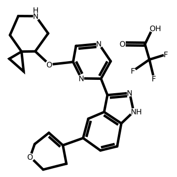 C1=C(c2ccc3[nH]nc(-c4cncc(OC5CNCCC56CC6)n4)c3c2)CCOC1.O=C(O)C(F)(F)F